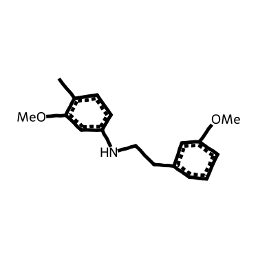 COc1cccc(CCNc2ccc(C)c(OC)c2)c1